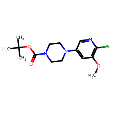 COc1cc(N2CCN(C(=O)OC(C)(C)C)CC2)cnc1Br